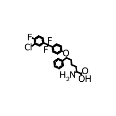 NC(CCCC(Oc1ccc(C(F)(F)c2ccc(F)c(Cl)c2)cc1)c1ccccc1)C(=O)O